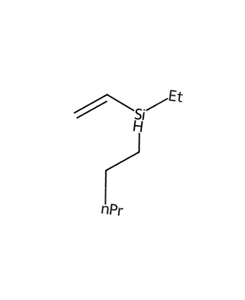 C=C[SiH](CC)CCCCC